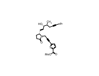 CCCC#CC[C@H](C)[C@@H](O)C=C[C@H]1CCC(=O)N1CC#Cc1ccc(C(=O)OC)s1